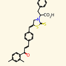 Cc1ccc(C(=O)/C=C/c2ccc(C=C3CN(C(Cc4ccccc4)C(=O)O)C(=S)S3)cc2)c(C)c1